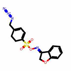 [N-]=[N+]=NCC1=CC=C(S(=O)(=O)O/N=C2\COc3ccccc32)CC1